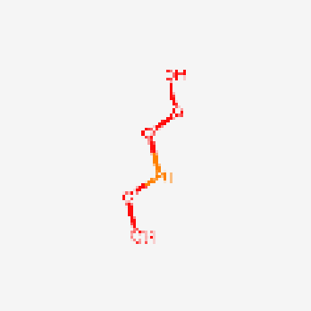 OOOPOO